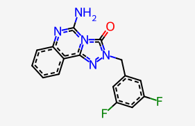 Nc1nc2ccccc2c2nn(Cc3cc(F)cc(F)c3)c(=O)n12